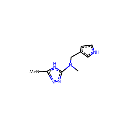 CNc1nnc(N(C)Cc2cc[nH]c2)[nH]1